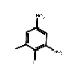 Cc1cc([N+](=O)[O-])cc([N+](=O)[O-])c1F